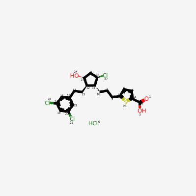 Cl.O=C(O)c1ccc(CCC[C@@H]2[C@@H](CCc3cc(Cl)cc(Cl)c3)[C@H](O)C[C@H]2Cl)s1